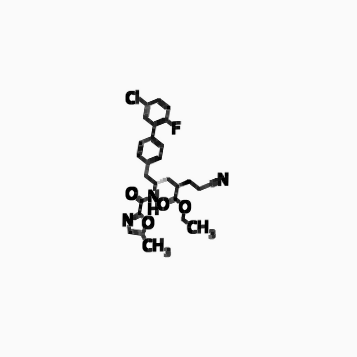 CCOC(=O)[C@H](CCC#N)C[C@@H](Cc1ccc(-c2cc(Cl)ccc2F)cc1)NC(=O)c1ncc(C)o1